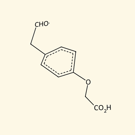 O=[C]Cc1ccc(OCC(=O)O)cc1